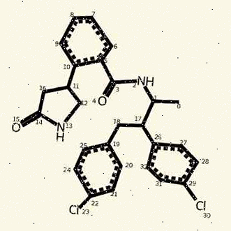 CC(NC(=O)c1ccccc1C1CNC(=O)C1)C(Cc1ccc(Cl)cc1)c1ccc(Cl)cc1